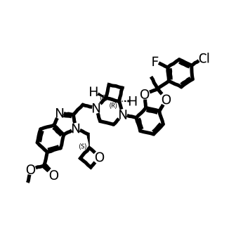 COC(=O)c1ccc2nc(CN3CCN(c4cccc5c4OC(C)(c4ccc(Cl)cc4F)O5)[C@@H]4CC[C@H]43)n(C[C@@H]3CCO3)c2c1